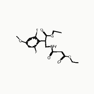 CCOC(=O)CC(=O)NCC(C(=O)OCC)c1c(F)cc(OC)cc1F